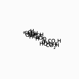 C[C@@H]1CC[C@@]2(OC1)O[C@H]1C[C@H]3[C@@H]4CC[C@H]5C[C@@H](OC(=O)CC(O)(C(=O)O)C(O)C(=O)O)CC[C@]5(C)[C@H]4CC[C@]3(C)[C@H]1[C@@H]2C